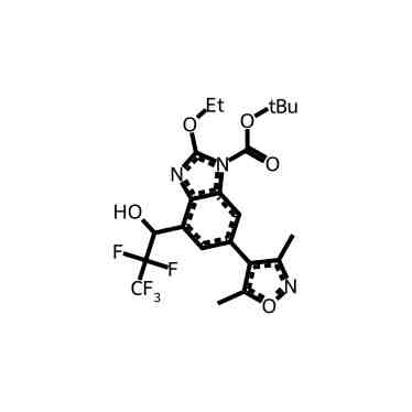 CCOc1nc2c(C(O)C(F)(F)C(F)(F)F)cc(-c3c(C)noc3C)cc2n1C(=O)OC(C)(C)C